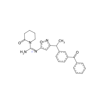 CC(c1cccc(C(=O)c2ccccc2)c1)c1cc(/N=C(/N)N2CCCCC2=O)on1